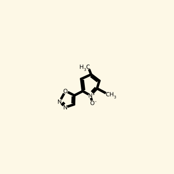 Cc1cc(C)[n+]([O-])c(-c2cnno2)c1